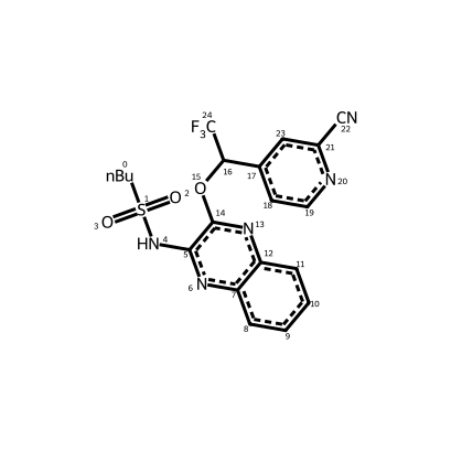 CCCCS(=O)(=O)Nc1nc2ccccc2nc1OC(c1ccnc(C#N)c1)C(F)(F)F